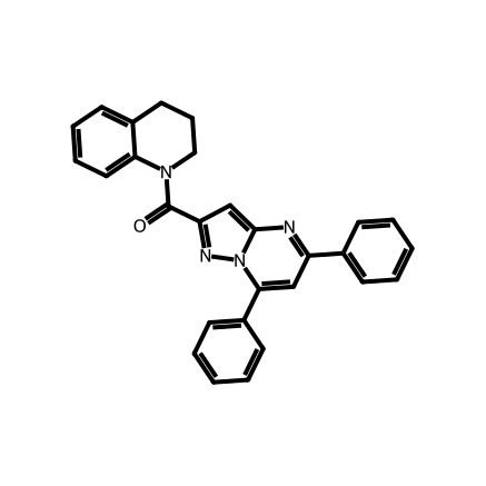 O=C(c1cc2nc(-c3ccccc3)cc(-c3ccccc3)n2n1)N1CCCc2ccccc21